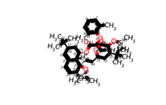 CCC(Oc1c(C)cccc1C)C(=O)O[C@H]1C[C@H](C(C)(C)C)C=C2C=C[C@H](C)[C@](CC[C@@H]3C[C@H](C(C)(C)C)C(O[SiH](C)C)C(=O)O3)(O[SiH](C)C)[C@H]21